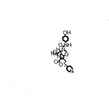 O=C([O-])C1=C(CSc2ccncc2)C2OCN(C(=O)Nc3ccc(O)cc3)[C@@H]3C(=O)N1[C@H]23.[Na+]